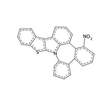 O=[N+]([O-])c1cccc2c1-c1cccc3c4c5ccccc5sc4n(c13)-c1ccccc1-2